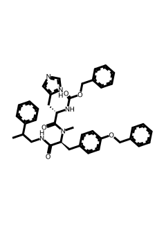 CC(CNC(=O)[C@H](Cc1ccc(OCc2ccccc2)cc1)N(C)C(=O)[C@H](Cc1cnc[nH]1)NC(=O)OCc1ccccc1)c1ccccc1